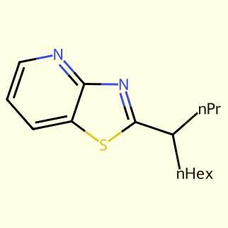 CCCCCCC(CCC)c1nc2ncccc2s1